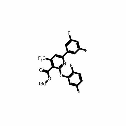 CC(C)(C)OC(=O)c1c(C(F)(F)F)cc(-c2cc(F)cc(F)c2)nc1Oc1cc(F)ccc1F